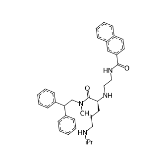 CC(C)NCCC[C@H](NCCNC(=O)c1ccc2ccccc2c1)C(=O)N(C)CC(c1ccccc1)c1ccccc1